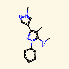 CNc1c(C)c(-c2cnn(C)c2)nn1-c1ccccc1